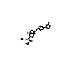 O=C(O)N(NC1CC1)C1CC[C@H]2C(C=Cc3ccc(-c4cccc(F)c4)cn3)CC[C@@H]2C1